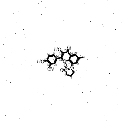 Cc1cc(N2CCCS2(=O)=O)c2oc(-c3ccc(O)c(C#N)c3)c(O)c(=O)c2c1